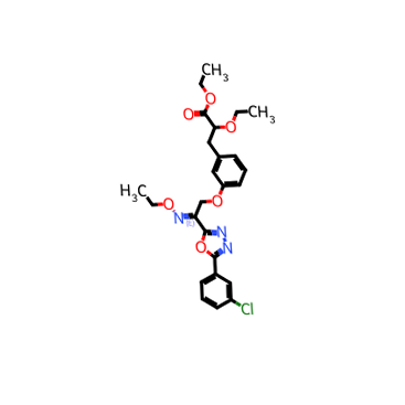 CCO/N=C(\COc1cccc(CC(OCC)C(=O)OCC)c1)c1nnc(-c2cccc(Cl)c2)o1